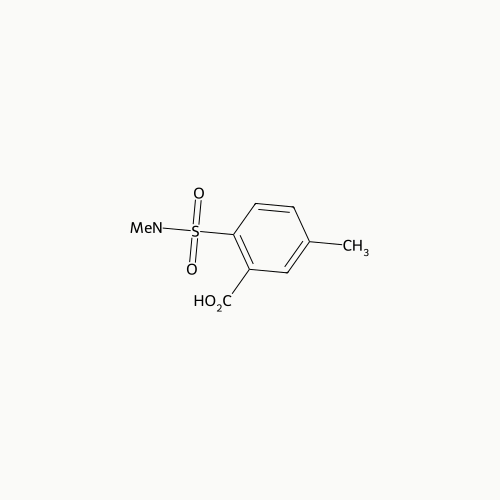 CNS(=O)(=O)c1ccc(C)cc1C(=O)O